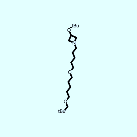 CC(C)(C)COCCCCCOCCCCCN1CC(OC(C)(C)C)C1